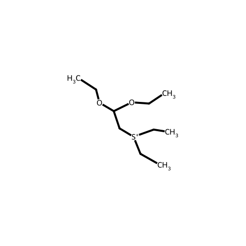 CCOC(C[S+](CC)CC)OCC